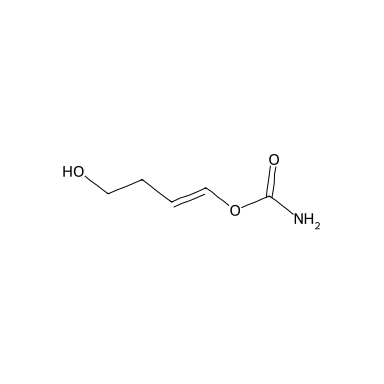 NC(=O)OC=CCCO